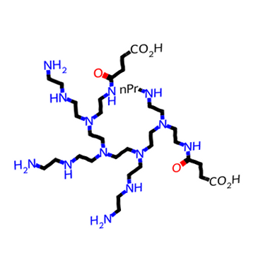 CCCNCCN(CCNC(=O)CCC(=O)O)CCN(CCNCCN)CCN(CCNCCN)CCN(CCNCCN)CCNC(=O)CCC(=O)O